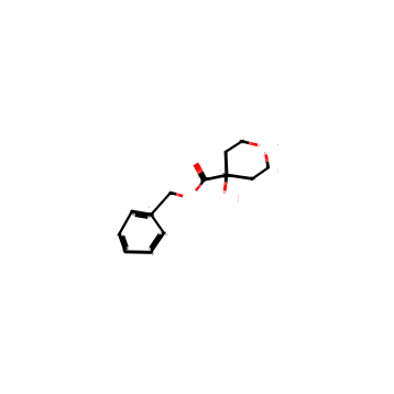 O=C(OCc1ccccc1)C1(O)CCOCC1